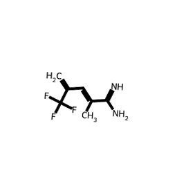 C=C(/C=C(\C)C(=N)N)C(F)(F)F